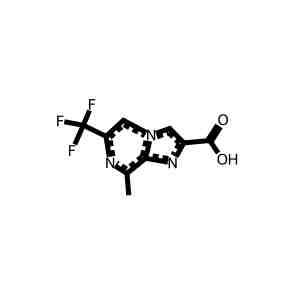 Cc1nc(C(F)(F)F)cn2cc(C(=O)O)nc12